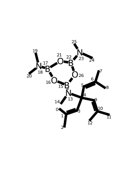 CC(C)=CC(C=C(C)C)(C=C(C)C)N(C)B1OB(N(C)C)OB(N(C)C)O1